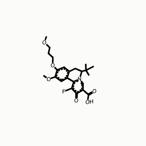 COCCCOc1cc2c(cc1OC)-c1c(F)c(=O)c(C(=O)O)cn1C(C(C)(C)C)C2